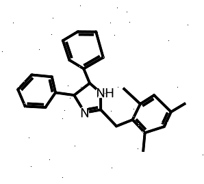 Cc1cc(C)c(CC2=NC(c3ccccc3)C(c3ccccc3)N2)c(C)c1